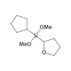 CO[Si](OC)(C1CCCC1)C1CCCO1